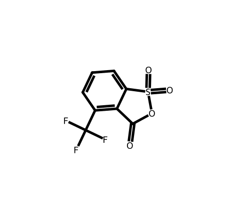 O=C1OS(=O)(=O)c2cccc(C(F)(F)F)c21